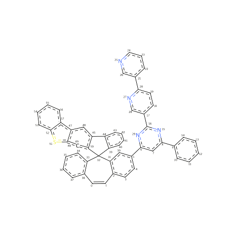 C1=Cc2ccc(-c3cc(-c4ccccc4)nc(-c4ccc(-c5cccnc5)nc4)n3)cc2C2(c3ccccc31)c1ccccc1-c1cc3c(cc12)sc1ccccc13